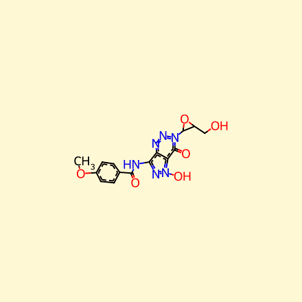 COc1ccc(C(=O)Nc2nn(O)c3c(=O)n(C4OC4CO)nnc23)cc1